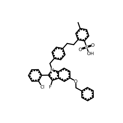 Cc1ccc(S(=O)(=O)O)c(CCc2ccc(Cn3c(-c4ccccc4Cl)c(F)c4cc(OCc5ccccc5)ccc43)cc2)c1